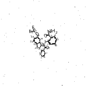 NC(=O)c1ccccc1CN(C(=O)c1cccnc1)[C@@H]1CCc2ccc(OC(F)F)cc21